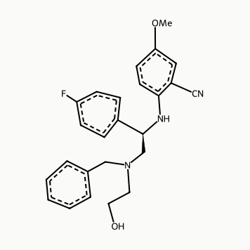 COc1ccc(N[C@@H](CN(CCO)Cc2ccccc2)c2ccc(F)cc2)c(C#N)c1